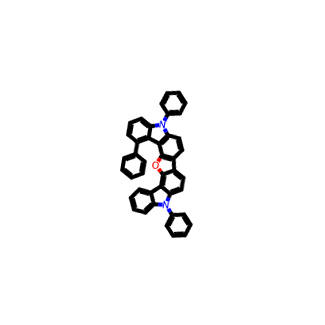 c1ccc(-c2cccc3c2c2c4oc5c(ccc6c5c5ccccc5n6-c5ccccc5)c4ccc2n3-c2ccccc2)cc1